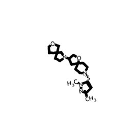 Cc1cc(SN2CCC3(CC2)CC(N2CCC4(CCOC4)C2)CO3)n(C)n1